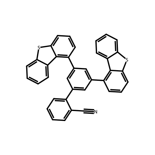 N#Cc1ccccc1-c1cc(-c2cccc3sc4ccccc4c23)cc(-c2cccc3sc4ccccc4c23)c1